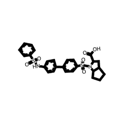 O=C(O)C1CC2CCCC2N1S(=O)(=O)c1ccc(-c2ccc(NS(=O)(=O)c3ccccc3)cc2)cc1